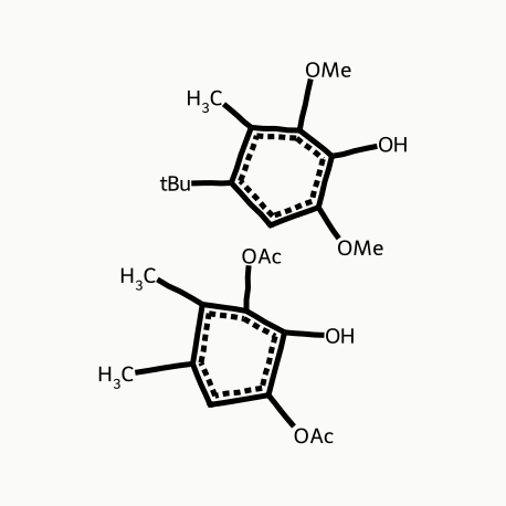 CC(=O)Oc1cc(C)c(C)c(OC(C)=O)c1O.COc1cc(C(C)(C)C)c(C)c(OC)c1O